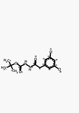 CC(C)(C)OC(=O)NNC(=O)Cc1cc(Cl)cc(Cl)c1